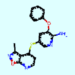 Cc1noc2nccc(Sc3cnc(N)c(Oc4ccccc4)c3)c12